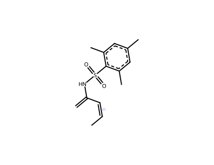 C=C(/C=C\C)NS(=O)(=O)c1c(C)cc(C)cc1C